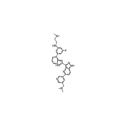 CN(C)CCNc1cc(F)cc(-c2cccc3[nH]c(-c4n[nH]c5ccc(-c6cncc(CN(C)C)c6)nc45)nc23)c1